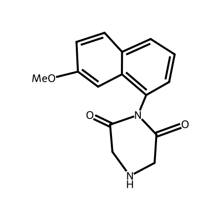 COc1ccc2cccc(N3C(=O)CNCC3=O)c2c1